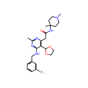 Cc1nc(CC(=O)NC2(C)CCN(C)CC2)c(C2OCCO2)c(NCc2cccc(C(F)(F)F)c2)n1